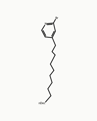 CCCCCCCCCCCCCCCCCCCc1ccnc(Br)c1